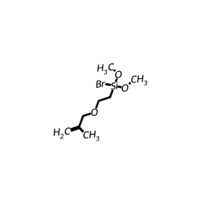 C=C(C)COCC[Si](Br)(OC)OC